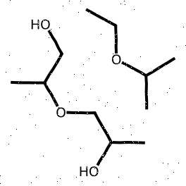 CC(O)COC(C)CO.CCOC(C)C